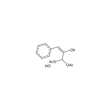 CC(=O)OC(OC(C)=O)C(C#N)=Cc1ccccc1.Cl